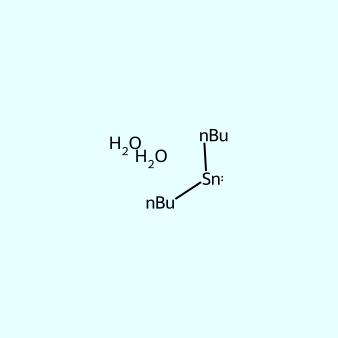 CCC[CH2][Sn][CH2]CCC.O.O